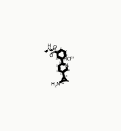 CNS(=O)(=O)c1cccc(-c2ccc(C3CC3N)cn2)c1.Cl